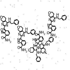 CN1CCc2nc(C3(c4nc5c(c(NCc6ccccc6)n4)CCOC5)SNc4c(C(N)=O)cccc43)nc(NCc3ccccc3)c2C1.NC(=O)c1cccc2c(-c3nc4c(c(NCc5ccccc5)n3)CCOC4)noc12.NC(=O)c1cccc2c(-c3nc4c(c(NCc5ccccc5)n3)CCOC4)nsc12.NC(=O)c1cccc2c(-c3nc4c(c(NCc5ccccc5)n3)CCOC4)onc12